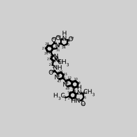 CCc1cc2c(c(-c3cccc4cc(-c5ccc(C(=O)NCc6cc(-c7cccc8c7CN(C7CCC(=O)NC7=O)C8=O)nn6C)nc5)ncc34)c1)N[C@H](C)CC(=O)N2